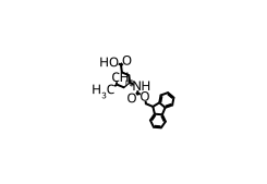 CC(C)C[C@@H](CCC(=O)O)NC(=O)OCC1c2ccccc2-c2ccccc21